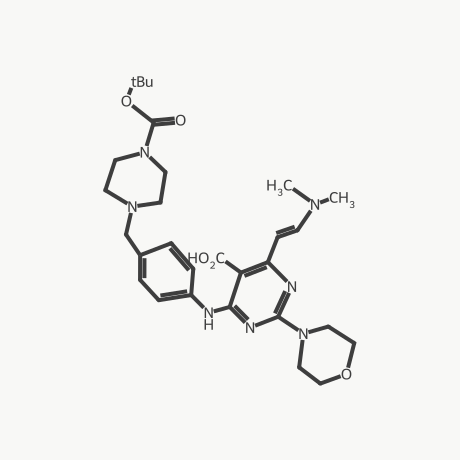 CN(C)C=Cc1nc(N2CCOCC2)nc(Nc2ccc(CN3CCN(C(=O)OC(C)(C)C)CC3)cc2)c1C(=O)O